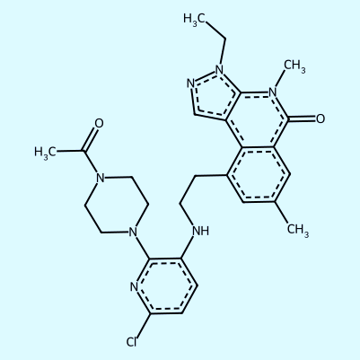 CCn1ncc2c3c(CCNc4ccc(Cl)nc4N4CCN(C(C)=O)CC4)cc(C)cc3c(=O)n(C)c21